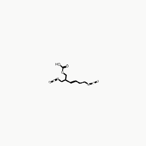 O=C=NCCC=CC(CN=C=O)COC(=O)O